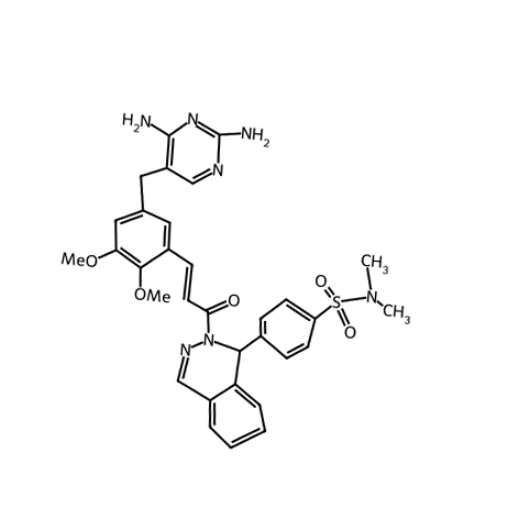 COc1cc(Cc2cnc(N)nc2N)cc(/C=C/C(=O)N2N=Cc3ccccc3C2c2ccc(S(=O)(=O)N(C)C)cc2)c1OC